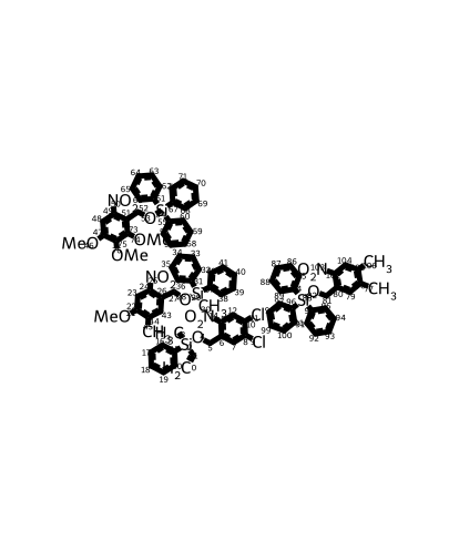 C=C[Si](C)(OCc1cc(Cl)c(Cl)cc1[N+](=O)[O-])c1ccccc1.COc1cc([N+](=O)[O-])c(CO[Si](C)(c2ccccc2)c2ccccc2)cc1C.COc1cc([N+](=O)[O-])c(CO[Si](c2ccccc2)(c2ccccc2)c2ccccc2)c(OC)c1OC.Cc1cc(CO[Si](c2ccccc2)(c2ccccc2)c2ccccc2)c([N+](=O)[O-])cc1C